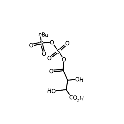 CCCCS(=O)(=O)OS(=O)(=O)OC(=O)C(O)C(O)C(=O)O